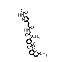 CC(=O)Nc1ccc(/C=C/C(=O)NCC(=O)N(C)c2cccc(C(Cl)(Cl)Oc3cccc4ccc(C)nc34)c2)cn1